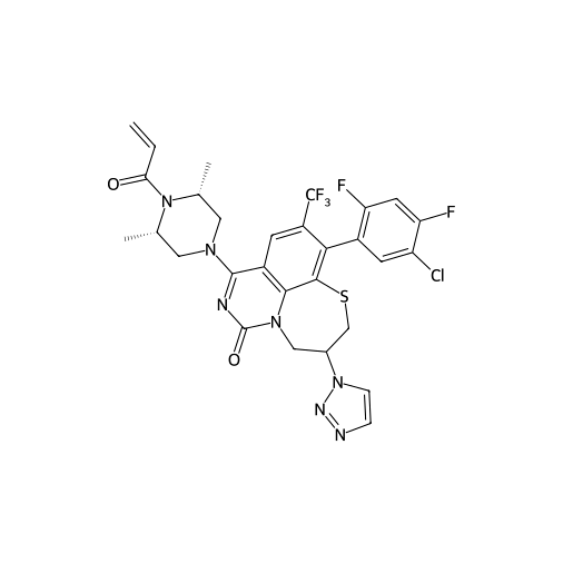 C=CC(=O)N1[C@H](C)CN(c2nc(=O)n3c4c(c(-c5cc(Cl)c(F)cc5F)c(C(F)(F)F)cc24)SCC(n2ccnn2)C3)C[C@@H]1C